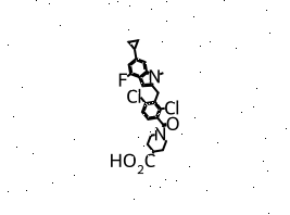 Cn1c(Cc2c(Cl)ccc(C(=O)N3CCC(C(=O)O)CC3)c2Cl)cc2c(F)cc(C3CC3)cc21